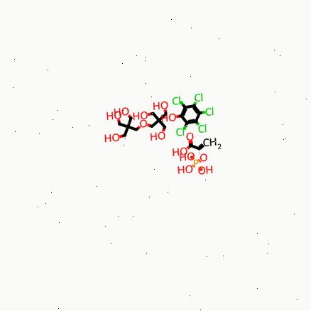 C=CC(=O)O.O=P(O)(O)O.OCC(CO)(CO)COCC(CO)(CO)CO.Oc1c(Cl)c(Cl)c(Cl)c(Cl)c1Cl